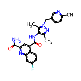 Cc1c(NC(=O)c2cc(C(N)=O)nc3cc(F)ccc23)c(C(F)(F)F)nn1Cc1ccc(C#N)nc1